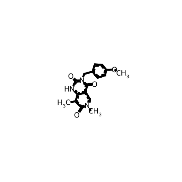 COc1ccc(Cn2c(=O)[nH]c3c(C)c(=O)n(C)cc3c2=O)cc1